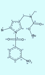 CN(Cc1cc(Br)n(S(=O)(=O)c2cccc([N+](=O)[O-])c2)c1)C(=O)OC(C)(C)C